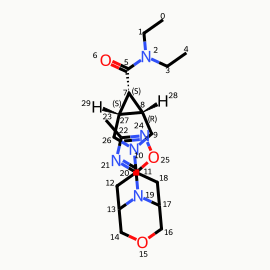 CCN(CC)C(=O)[C@@H]1[C@@H]2CN(C3CC4COCC(C3)N4c3nc(C)no3)C[C@@H]21